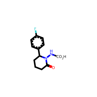 O=C(O)NN1C(=O)CCCC1c1ccc(F)cc1